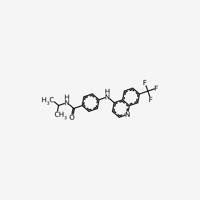 CC(C)NC(=O)c1ccc(Nc2ccnc3cc(C(F)(F)F)ccc23)cc1